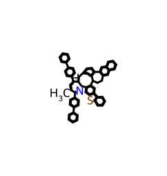 CC1=C=C(c2ccc(-c3ccccc3)cc2)[C@H]2Cc3ccc4c(c3)C(CCc3cc5ccccc5cc3-4)c3cc4c(cc3C2N=C1c1ccc(-c2ccccc2)cc1)sc1ccccc14